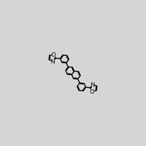 c1cc(-c2ccc3cc(-c4cccc(-c5ncco5)c4)ccc3c2)cc(-c2ncco2)c1